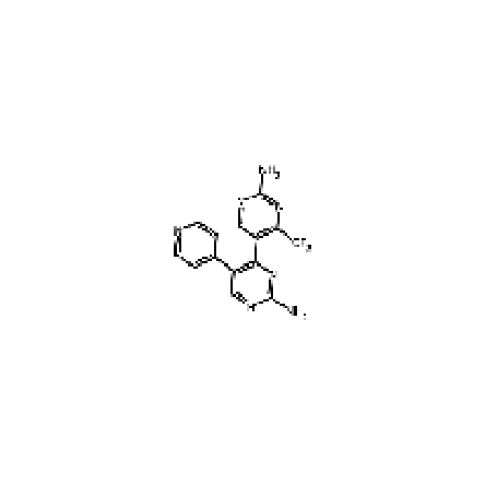 Nc1ncc(-c2ccncc2)c(-c2cnc(N)nc2C(F)(F)F)n1